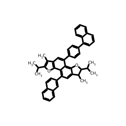 Cc1c(C(C)C)oc2c1cc(-c1ccc(-c3cccc4ccccc34)cc1)c1c3c(cc(-c4ccc5ccccc5c4)c12)C(C)C(C(C)C)O3